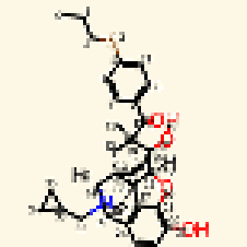 CCCSc1ccc([C@@H](O)[C@@]2(C)C[C@]34C=C[C@@]2(OC)[C@H]2Oc5c(O)ccc6c5[C@]23CCN(CC2CC2)[C@H]4C6)cc1